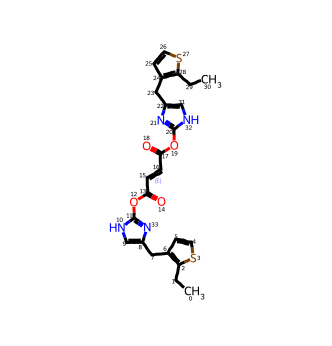 CCc1sccc1Cc1c[nH]c(OC(=O)/C=C/C(=O)Oc2nc(Cc3ccsc3CC)c[nH]2)n1